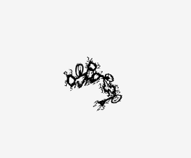 O=C1c2ccccc2NC(c2ccc(C(=O)N3CCN(C(=O)C4CC4)CC3)cc2)C1c1ccccc1